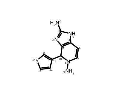 Nc1nc2c([nH]1)C=CN(N)C2c1ccsc1